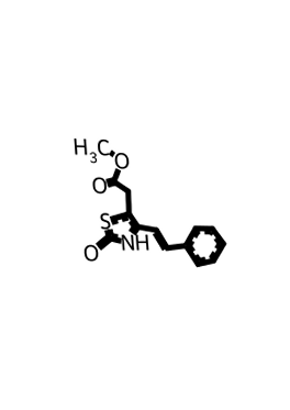 COC(=O)Cc1sc(=O)[nH]c1C=Cc1ccccc1